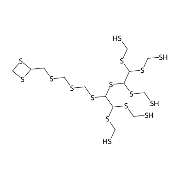 SCSC(SCS)C(SCS)SC(SCSCSCC1SCS1)C(SCS)SCS